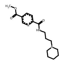 COC(=O)c1ccc(C(=O)NCCCN2CCCCC2)nc1